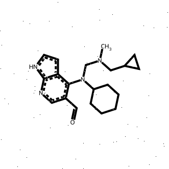 CN(CC1CC1)CN(c1c(C=O)cnc2[nH]ccc12)C1CCCCC1